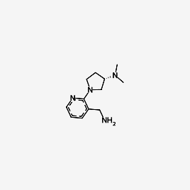 CN(C)[C@H]1CCN(c2ncccc2CN)C1